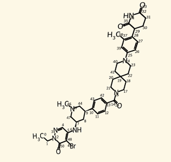 CCn1ncc(N[C@@H]2C[C@H](c3ccc(C(=O)N4CCC5(CC4)CCN(c4ccc(C6CCC(=O)NC6=O)c(C)c4)CC5)cc3)CN(C)C2)c(Br)c1=O